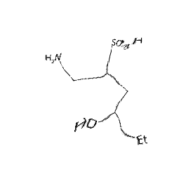 CCC(O)CC(CN)S(=O)(=O)O